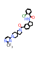 O=C(NC1CCc2ccc(C(=O)N3CCC4(CCN(c5ccnc(C(F)(F)F)n5)CC4)C3)cc21)c1ccccc1Cl